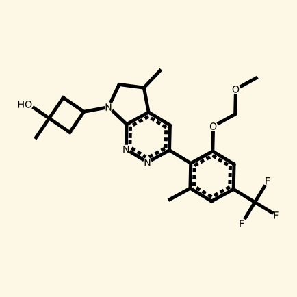 COCOc1cc(C(F)(F)F)cc(C)c1-c1cc2c(nn1)N(C1CC(C)(O)C1)CC2C